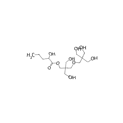 CCCC(O)C(=O)OCC(CO)(CO)COCC(CO)(CO)CO